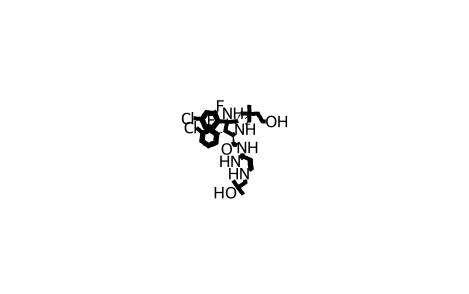 CC(C)(O)CN/C=C\C(=N)NC(=O)[C@@H]1N[C@@H](CC(C)(C)CCO)[C@](N)(c2ccc(Cl)cc2F)[C@H]1c1cccc(Cl)c1F